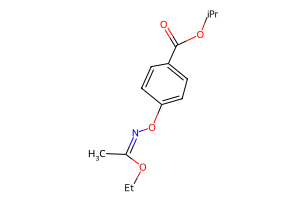 CCO/C(C)=N\Oc1ccc(C(=O)OC(C)C)cc1